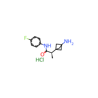 C[C@@H](C(=O)Nc1ccc(F)cc1)C12CC(N)(C1)C2.Cl